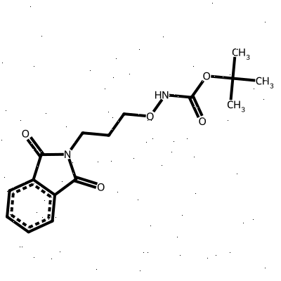 CC(C)(C)OC(=O)NOCCCN1C(=O)c2ccccc2C1=O